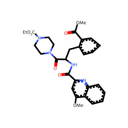 CCOC(=O)N1CCN(C(=O)C(Cc2ccccc2C(=O)OC)NC(=O)c2cc(OC)c3ccccc3n2)CC1